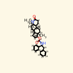 CN1C(=O)CC[C@]2(C)[C@H]3CC[C@]4(C)[C@@H](OC(=O)NC(Cc5ccccc5)c5ccccc5)CC[C@H]4[C@@H]3CC[C@@H]12